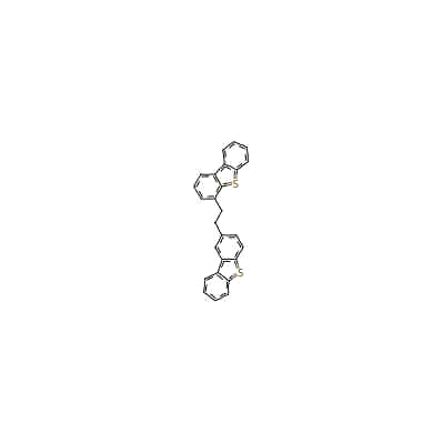 c1ccc2c(c1)sc1ccc(CCc3cccc4c3sc3ccccc34)cc12